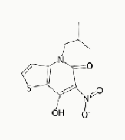 CC(C)Cn1c(=O)c([N+](=O)[O-])c(O)c2sccc21